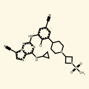 CS(=O)(=O)N1CC(N2CCC(c3cc(C#N)cc(Nc4nc(NC5CC5)c5ncc(C#N)n5n4)c3Cl)CC2)C1